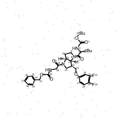 CC(C)(C)OC(=O)NC(C(=O)N1CC[C@@H]2[C@H]1[C@@H](COc1ccc(F)c(F)c1)CN2C(=O)CNC(=O)OCc1ccccc1)C(C)(C)C